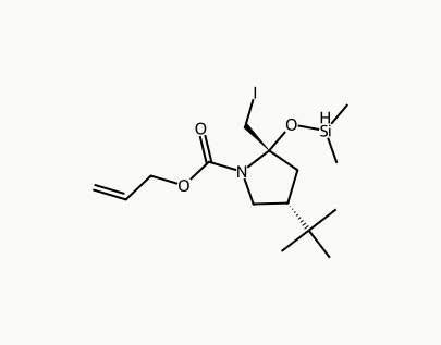 C=CCOC(=O)N1C[C@@H](C(C)(C)C)C[C@@]1(CI)O[SiH](C)C